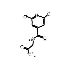 NC(=O)CNC(=O)c1cc(Cl)nc(Cl)c1